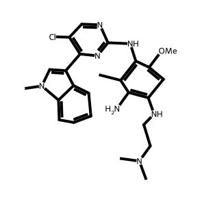 COc1cc(NCCN(C)C)c(N)c(C)c1Nc1ncc(Cl)c(-c2cn(C)c3ccccc23)n1